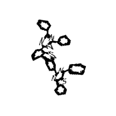 c1ccc(-c2nc(-c3ccccc3)nc(-c3cccc4c3sc3cc(-c5nc(-c6ccccc6)c6sc7ccccc7c6n5)ccc34)n2)cc1